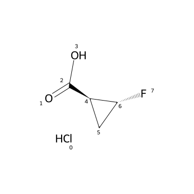 Cl.O=C(O)[C@@H]1C[C@H]1F